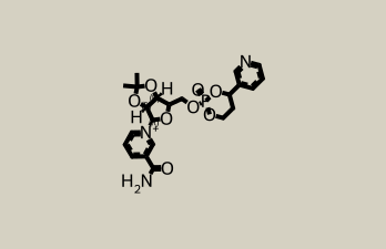 CC1(C)O[C@@H]2[C@H](O1)C(COP1(=O)OCCC(c3cccnc3)O1)O[C@H]2[n+]1cccc(C(N)=O)c1